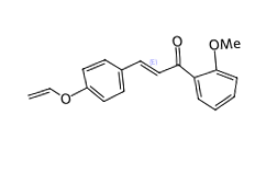 C=COc1ccc(/C=C/C(=O)c2ccccc2OC)cc1